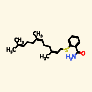 CC(C)=CCCC(C)=CCCC(C)=CCSc1ccccc1C(N)=O